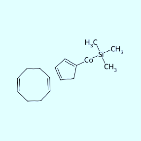 C1=C\CC/C=C\CC/1.C[Si](C)(C)[Co][C]1=CC=CC1